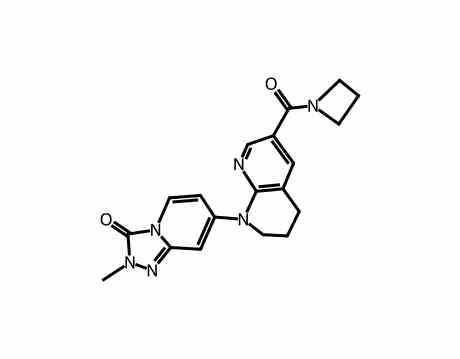 Cn1nc2cc(N3CCCc4cc(C(=O)N5CCC5)cnc43)ccn2c1=O